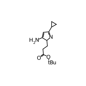 CC(C)(C)OC(=O)CCC1N=C(C2CC2)C=C1N